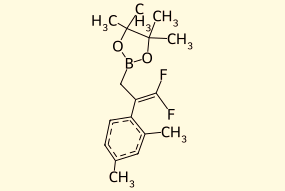 Cc1ccc(C(CB2OC(C)(C)C(C)(C)O2)=C(F)F)c(C)c1